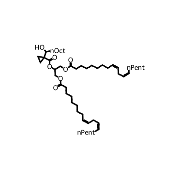 CCCCC/C=C\C/C=C\CCCCCCCC(=O)OCC(COC(=O)CCCCCCC/C=C\C/C=C\CCCCC)OC(=O)C1(C(O)CCCCCCCC)CC1